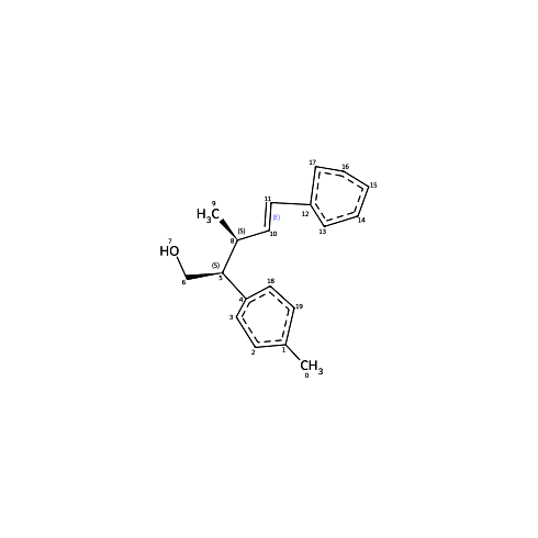 Cc1ccc([C@@H](CO)[C@@H](C)/C=C/c2ccccc2)cc1